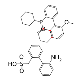 COc1cccc(OC)c1-c1ccccc1P(C1CCCCC1)C1CCCCC1.Nc1ccccc1-c1ccccc1CS(=O)(=O)O